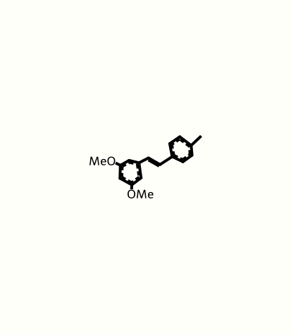 COc1cc(/C=C/c2ccc(C)cc2)cc(OC)c1